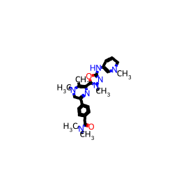 CC1=C(C2OC(NC3=CN(C)CC=C3)=NN2C)N=C(c2ccc(C(=O)N(C)C)cc2)CN1C